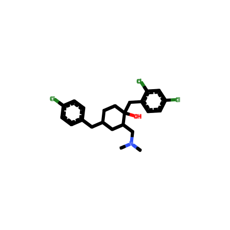 CN(C)CC1CC(Cc2ccc(Cl)cc2)CCC1(O)Cc1ccc(Cl)cc1Cl